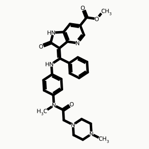 COC(=O)c1cnc2c(c1)NC(=O)/C2=C(\Nc1ccc(N(C)C(=O)CN2CCN(C)CC2)cc1)c1ccccc1